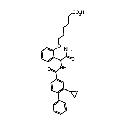 NC(=O)C(NC(=O)c1ccc(-c2ccccc2)c(C2CC2)c1)c1ccccc1OCCCCCC(=O)O